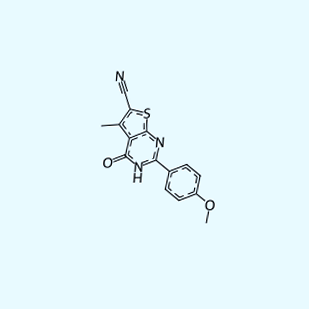 COc1ccc(-c2nc3sc(C#N)c(C)c3c(=O)[nH]2)cc1